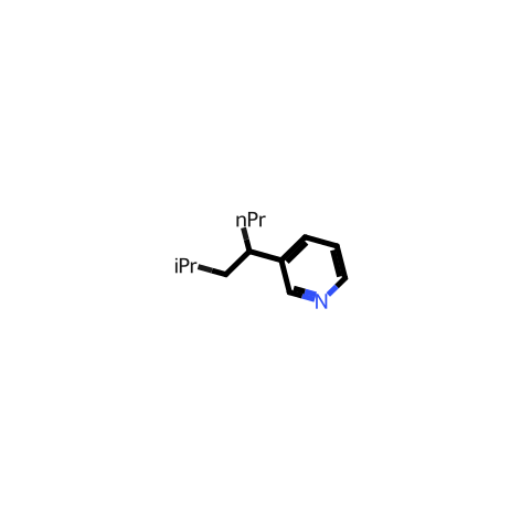 CCCC(CC(C)C)c1cccnc1